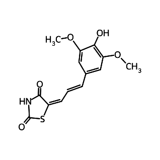 COc1cc(C=CC=C2SC(=O)NC2=O)cc(OC)c1O